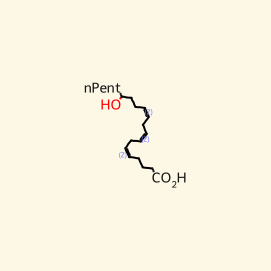 CCCCCC(O)CC/C=C\C/C=C\C/C=C\CCCC(=O)O